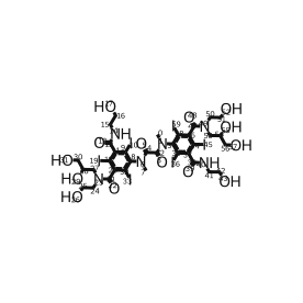 CN(C(=O)C(=O)N(C)c1c(I)c(C(=O)NCCO)c(I)c(C(=O)N(CCO)CC(O)CO)c1I)c1c(I)c(C(=O)NCCO)c(I)c(C(=O)N(CCO)CC(O)CO)c1I